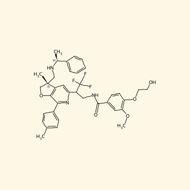 COc1cc(C(=O)NCC(c2cc3c(c(-c4ccc(C)cc4)n2)OC[C@]3(C)CN[C@@H](C)c2ccccc2)C(F)(F)F)ccc1OCCO